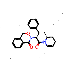 C[C@@H]1CCC=CN1C(=O)[C@H](Cc1ccccc1)N1OCc2ccccc2C1=O